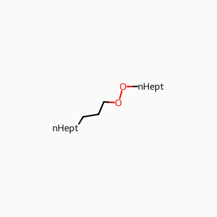 [CH2]CCCCCCCCCOOCCCCCCC